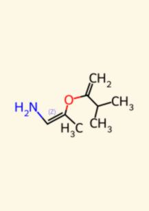 C=C(O/C(C)=C\N)C(C)C